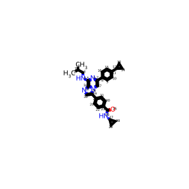 CC(C)CNc1nc(-c2ccc(C3CC3)cc2)cn2c(-c3ccc(C(=O)NC4CC4)cc3)cnc12